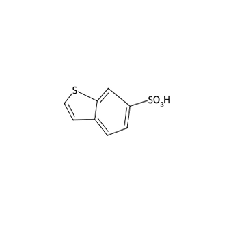 O=S(=O)(O)c1ccc2ccsc2c1